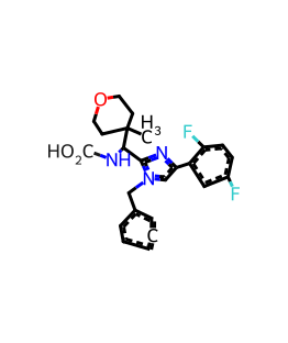 CC1(C(NC(=O)O)c2nc(-c3cc(F)ccc3F)cn2Cc2ccccc2)CCOCC1